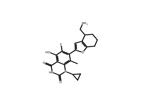 Cc1c(-c2cc3c(s2)CCCC3CN)c(F)c(O)c2c(=O)[nH]c(=O)n(C3CC3)c12